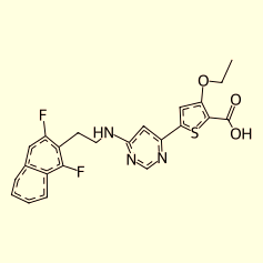 CCOc1cc(-c2cc(NCCc3c(F)cc4ccccc4c3F)ncn2)sc1C(=O)O